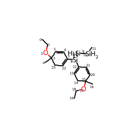 CCOC1(C)C=CC([SiH]([SiH2][SiH2]C)C2=CCC(C)(OCC)C=C2)=CC1